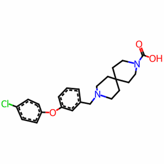 O=C(O)N1CCC2(CCN(Cc3cccc(Oc4ccc(Cl)cc4)c3)CC2)CC1